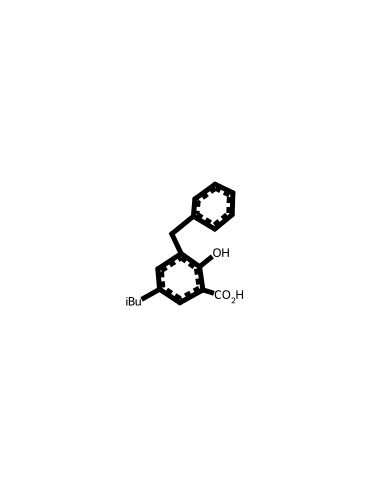 CCC(C)c1cc(Cc2ccccc2)c(O)c(C(=O)O)c1